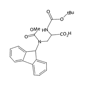 COC(=O)N(CC(NC(=O)OC(C)(C)C)C(=O)O)C1c2ccccc2-c2ccccc21